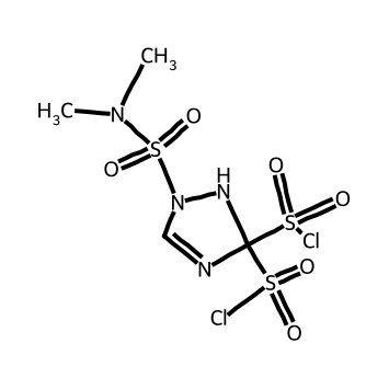 CN(C)S(=O)(=O)N1C=NC(S(=O)(=O)Cl)(S(=O)(=O)Cl)N1